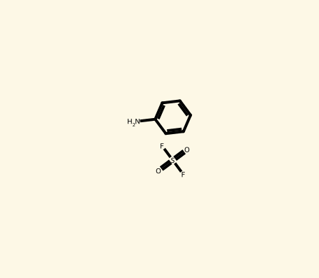 Nc1ccccc1.O=S(=O)(F)F